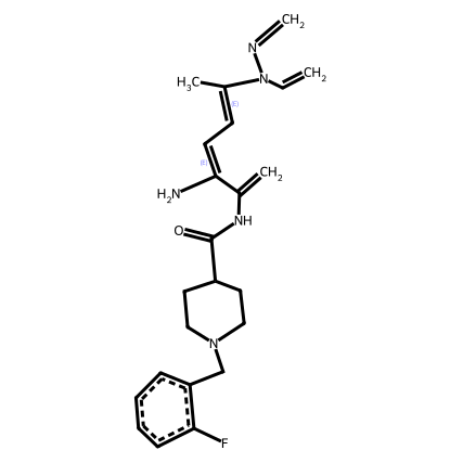 C=CN(N=C)/C(C)=C/C=C(/N)C(=C)NC(=O)C1CCN(Cc2ccccc2F)CC1